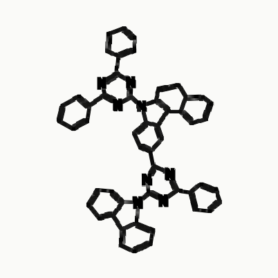 c1ccc(-c2nc(-c3ccc4c(c3)c3c5ccccc5ccc3n4-c3nc(-c4ccccc4)nc(-c4ccccc4)n3)nc(-n3c4ccccc4c4ccccc43)n2)cc1